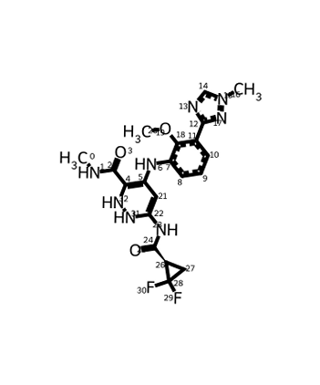 CNC(=O)C1=C(Nc2cccc(-c3ncn(C)n3)c2OC)C=C(NC(=O)[C@H]2CC2(F)F)NN1